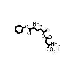 N[C@@H](CC(=O)OC(=O)CC[C@H](N)C(=O)Oc1ccccc1)C(=O)O